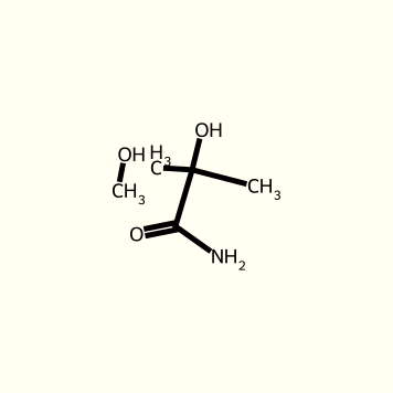 CC(C)(O)C(N)=O.CO